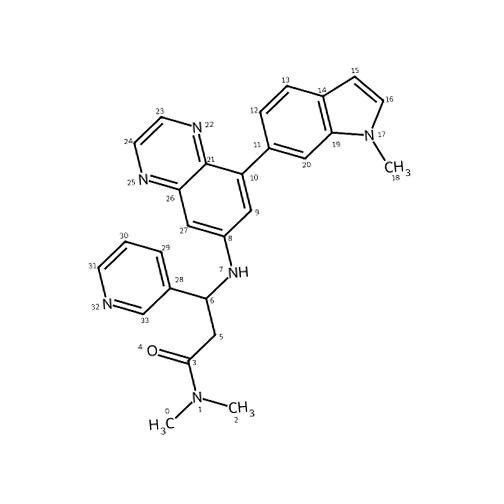 CN(C)C(=O)CC(Nc1cc(-c2ccc3ccn(C)c3c2)c2nccnc2c1)c1cccnc1